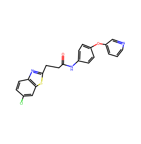 O=C(CCc1nc2ccc(Cl)cc2s1)Nc1ccc(Oc2cccnc2)cc1